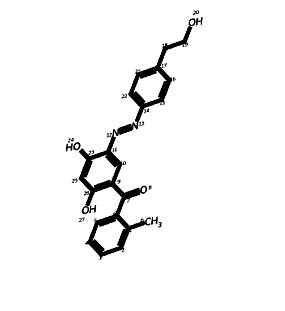 Cc1ccccc1C(=O)c1cc(N=Nc2ccc(CCO)cc2)c(O)cc1O